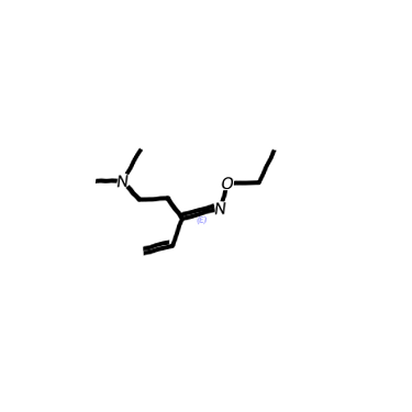 C=C/C(CCN(C)C)=N/OCC